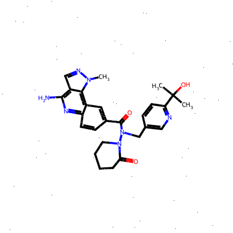 Cn1ncc2c(N)nc3ccc(C(=O)N(Cc4ccc(C(C)(C)O)nc4)N4CCCCC4=O)cc3c21